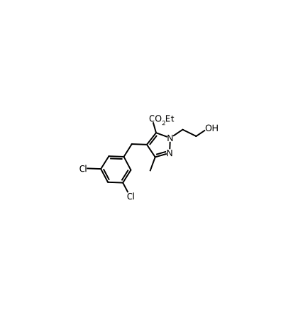 CCOC(=O)c1c(Cc2cc(Cl)cc(Cl)c2)c(C)nn1CCO